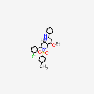 CCOC1=C2CN(S(=O)(=O)c3ccc(C)cc3)C(c3cccc(Cl)c3)C[C@@H]2NC(c2ccccc2)C1